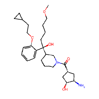 COCCCC[C@@](O)(c1ccccc1OCCC1CC1)C1CCCN(C(=O)[C@H]2C[C@@H](N)[C@@H](O)C2)C1